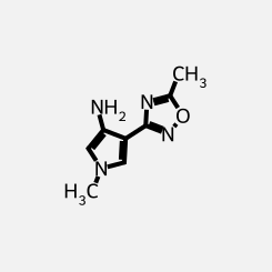 Cc1nc(-c2cn(C)cc2N)no1